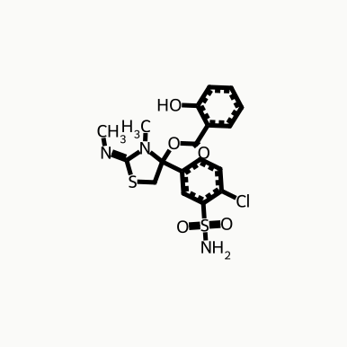 CN=C1SCC(OC(=O)c2ccccc2O)(c2ccc(Cl)c(S(N)(=O)=O)c2)N1C